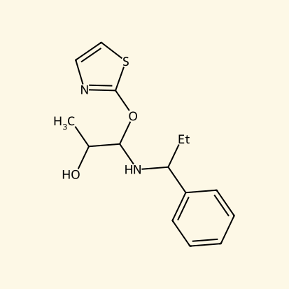 CCC(NC(Oc1nccs1)C(C)O)c1ccccc1